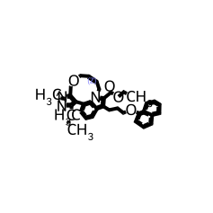 CCCc1nn(C)c2c1-c1c(C)ccc3c(CCCOc4cccc5ccccc45)c(C(=O)OCC)n(c13)C/C=C\COC2